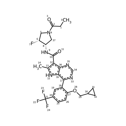 CCC(=O)N1C[C@@H](F)[C@@H](NC(=O)c2c(C)[nH]c3c(-c4cc(C(F)(F)F)ccc4OCC4CC4)ncnc23)C1